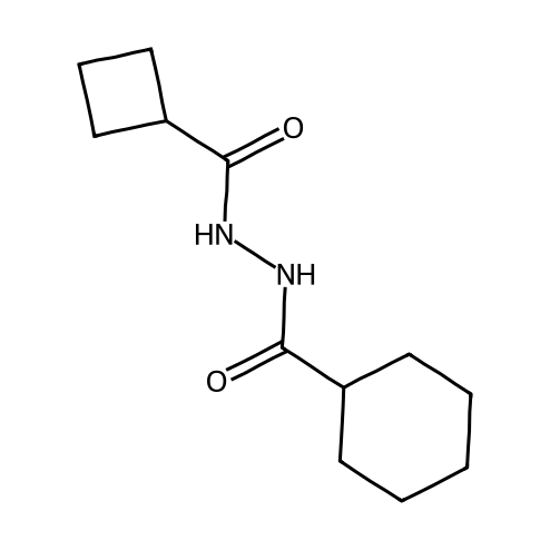 O=C(NNC(=O)C1CCC1)C1CCCCC1